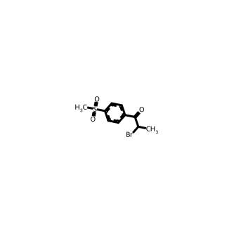 CC(Br)C(=O)c1ccc(S(C)(=O)=O)cc1